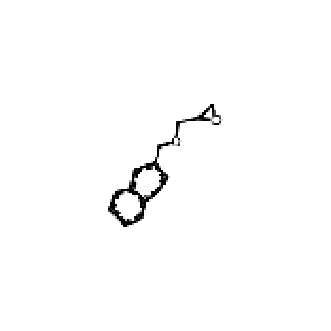 c1ccc2cc(COCC3CO3)ccc2c1